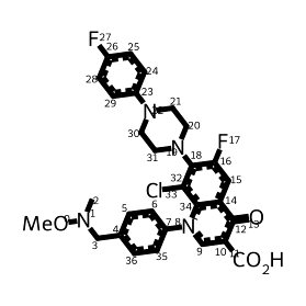 CON(C)Cc1ccc(-n2cc(C(=O)O)c(=O)c3cc(F)c(N4CCN(c5ccc(F)cc5)CC4)c(Cl)c32)cc1